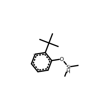 C[SiH](C)Oc1ccc[c]c1C(C)(C)C